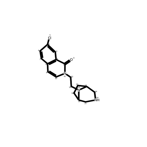 O=c1c2cc(Cl)ccc2ccn1CCN1C2CCC1CNC2